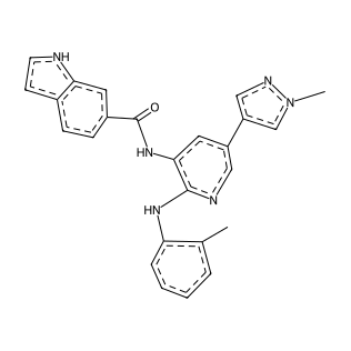 Cc1ccccc1Nc1ncc(-c2cnn(C)c2)cc1NC(=O)c1ccc2cc[nH]c2c1